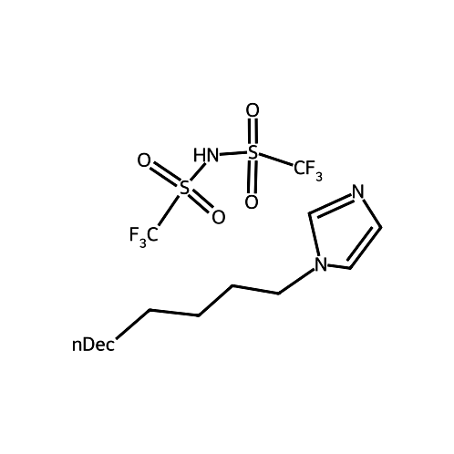 CCCCCCCCCCCCCCn1ccnc1.O=S(=O)(NS(=O)(=O)C(F)(F)F)C(F)(F)F